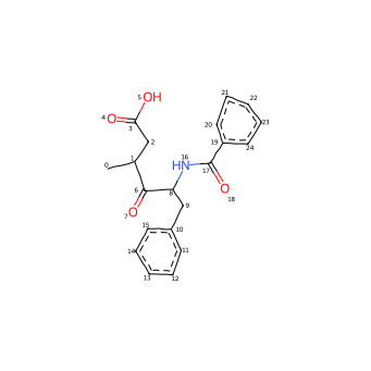 CC(CC(=O)O)C(=O)C(Cc1ccccc1)NC(=O)c1ccccc1